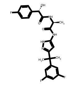 C[C@H](NC(=O)[C@@H](O)c1ccc(F)cc1)C(=O)Nc1cc(C(C)(C)c2cc(F)cc(F)c2)n[nH]1